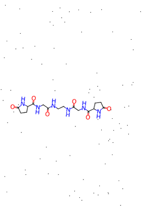 O=C(CNC(=O)C1CCC(=O)N1)NCCNC(=O)CNC(=O)C1CCC(=O)N1